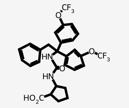 O=C(NC1CCCC1C(=O)O)NC(Cc1ccccc1)(c1cccc(OC(F)(F)F)c1)c1cccc(OC(F)(F)F)c1